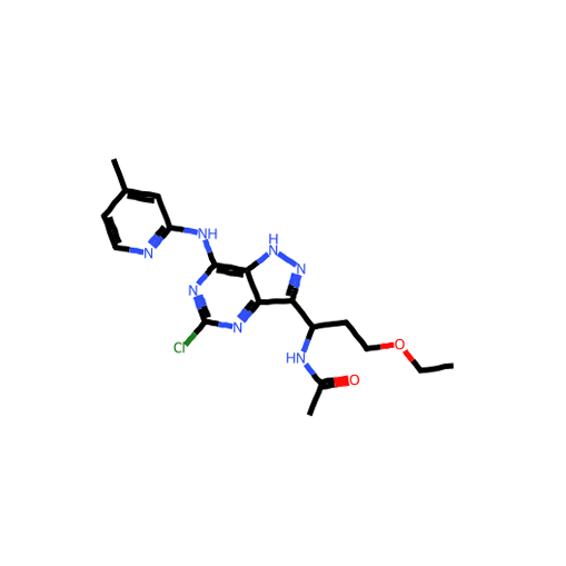 CCOCCC(NC(C)=O)c1n[nH]c2c(Nc3cc(C)ccn3)nc(Cl)nc12